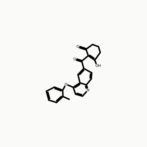 Cc1ccccc1Oc1ccnc2ccc(C(=O)C3=C(O)CCCC3=O)cc12